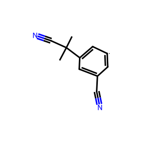 CC(C)(C#N)c1c[c]cc(C#N)c1